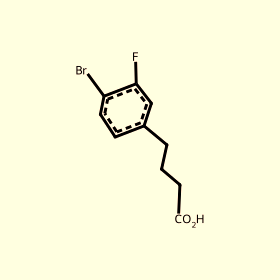 O=C(O)CCCc1ccc(Br)c(F)c1